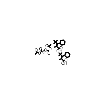 CC(=O)OC(=O)OOC(=O)OC(C)=O.CC(C(=O)O)=C(C1CCCCC1)C(C)(C)C.CC(C(=O)O)=C(C1CCCCC1)C(C)(C)C